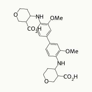 COc1cc(-c2ccc(NC3CCOCC3C(=O)O)c(OC)c2)ccc1NC1CCOCC1C(=O)O